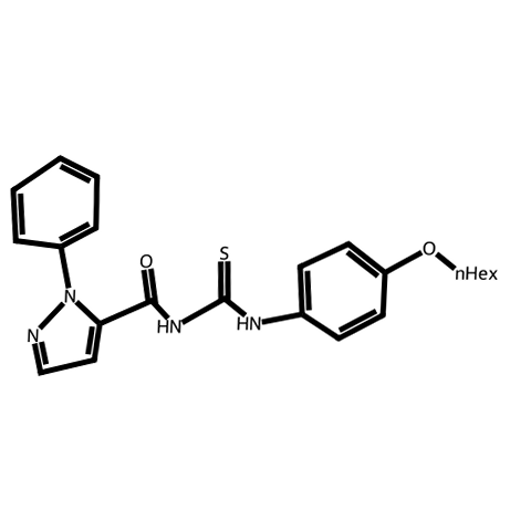 CCCCCCOc1ccc(NC(=S)NC(=O)c2ccnn2-c2ccccc2)cc1